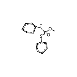 COP(=O)(Nc1ccccc1)Sc1ccccc1